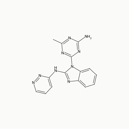 Cc1nc(N)nc(-n2c(Nc3cccnn3)nc3ccccc32)n1